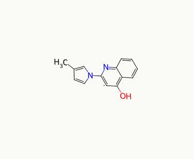 Cc1ccn(-c2[c]c(O)c3ccccc3n2)c1